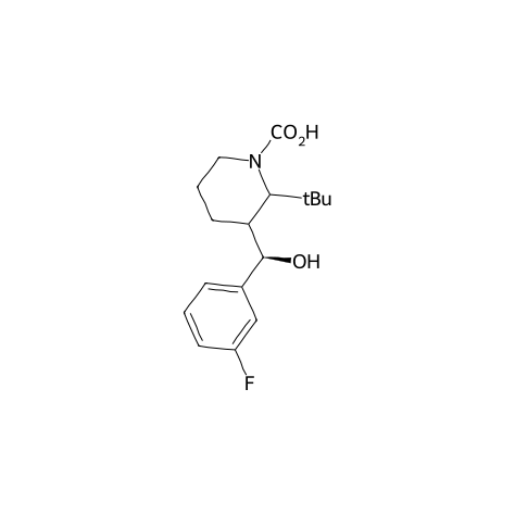 CC(C)(C)C1C([C@@H](O)c2cccc(F)c2)CCCN1C(=O)O